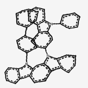 c1ccc(-c2ccc(-n3c4ccccc4c4ccc5c6ccccc6n(-c6ccc7c8ccccc8n(-c8ccccc8)c7c6)c5c43)cc2)cc1